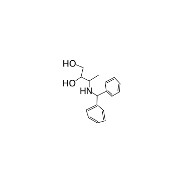 CC(NC(c1ccccc1)c1ccccc1)C(O)CO